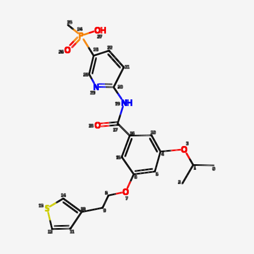 CC(C)Oc1cc(OCCc2ccsc2)cc(C(=O)Nc2ccc(P(C)(=O)O)cn2)c1